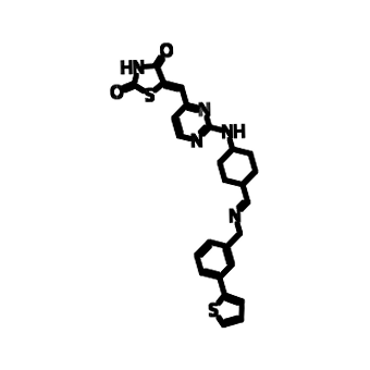 O=C1NC(=O)/C(=C/c2ccnc(NC3CCC(C=NCc4cccc(-c5cccs5)c4)CC3)n2)S1